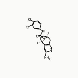 Nc1cc2c(cn1)C[C@@H]1CC[C@H]2N1C(=O)Nc1ccc(Cl)c(Cl)c1